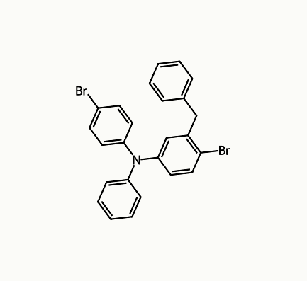 Brc1ccc(N(c2ccccc2)c2ccc(Br)c(Cc3ccccc3)c2)cc1